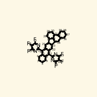 Fc1nc(-c2c3ccccc3c(-c3nc(F)c(F)c(F)n3)c3cc4c(cc23)-c2cccc3c2c-4cc2ccccc23)nc(F)c1F